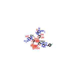 CO[C@H]1C(OP(=O)(O)OC[C@H]2O[C@@H](n3cnc4c(=O)[nH]c(N)nc43)[C@@H](O)C2O)[C@@H](COP(=O)(O)OP(=O)(O)OP(=O)(O)OC[C@H]2O[C@@H](n3c[n+](C)c4c(O)nc(N)nc43)C(O)C2O)O[C@H]1n1cnc2c(NCc3ccc(F)cc3)ncnc21